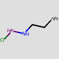 CCCCCNPCl